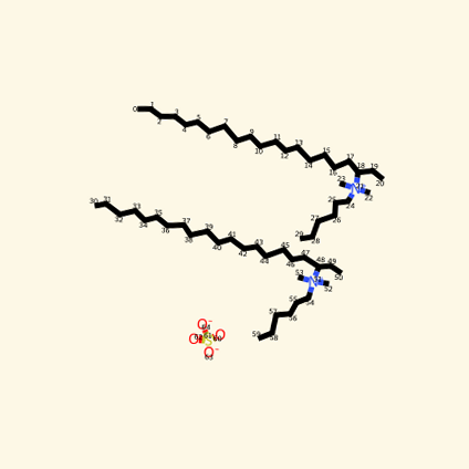 CCCCCCCCCCCCCCCCCCC(CC)[N+](C)(C)CCCCCC.CCCCCCCCCCCCCCCCCCC(CC)[N+](C)(C)CCCCCC.O=S(=O)([O-])[O-]